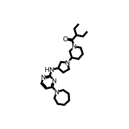 CCC(CC)C(=O)N1CCCC(N2CCC(Nc3nccc(N4CCCCCC4)n3)C2)C1